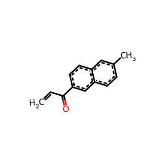 C=CC(=O)c1ccc2cc(C)ccc2c1